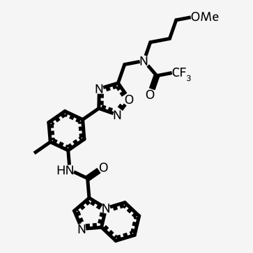 COCCCN(Cc1nc(-c2ccc(C)c(NC(=O)c3cnc4ccccn34)c2)no1)C(=O)C(F)(F)F